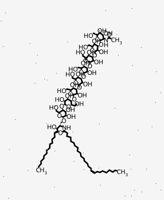 CCCCCCCC/C=C\CCCCCCCCCCCCCCCC(=O)N[C@@H](CO[C@@H]1OC(CO)[C@@H](O[C@@H]2OC(CO)[C@H](O[C@@H]3OC(CO)[C@H](O)[C@H](O[C@H]4OC(CO)[C@H](O)[C@H](O[C@H]5OC(CO)[C@H](O)[C@H](O[C@H]6OC(CO)[C@H](O)[C@H](O[C@H]7OC(CO)[C@H](O)[C@H](O[C@@H]8OC(CO)[C@H](O)[C@H](O)C8NC(C)=O)C7O)C6O)C5O)C4O)C3O)[C@H](O)C2O)[C@H](O)C1O)[C@H](O)/C=C/CCCCCCCCCCCCC